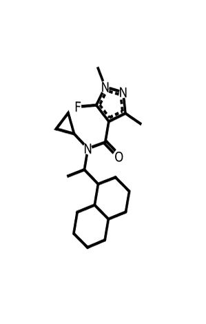 Cc1nn(C)c(F)c1C(=O)N(C1CC1)C(C)C1CCCC2CCCCC21